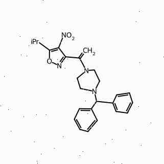 C=C(c1noc(C(C)C)c1[N+](=O)[O-])N1CCN(C(c2ccccc2)c2ccccc2)CC1